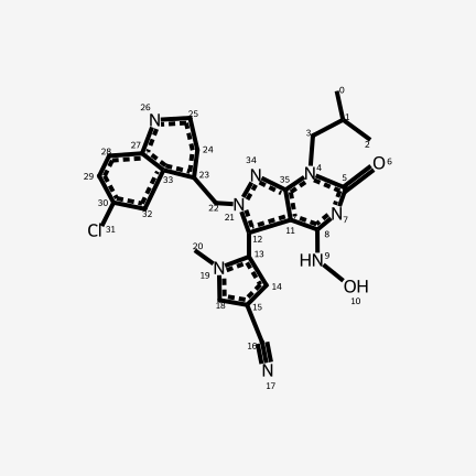 CC(C)Cn1c(=O)nc(NO)c2c(-c3cc(C#N)cn3C)n(Cc3ccnc4ccc(Cl)cc34)nc21